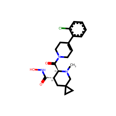 CN1CC2(CC2)C[C@H](C(=O)NO)[C@H]1C(=O)N1CC=C(c2ccccc2Cl)CC1